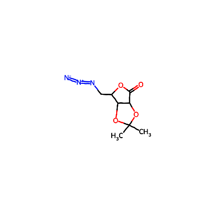 CC1(C)OC2C(=O)OC(CN=[N+]=[N-])C2O1